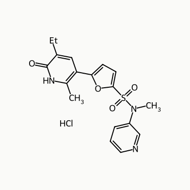 CCc1cc(-c2ccc(S(=O)(=O)N(C)c3cccnc3)o2)c(C)[nH]c1=O.Cl